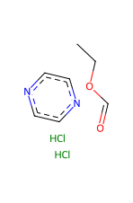 CCOC=O.Cl.Cl.c1cnccn1